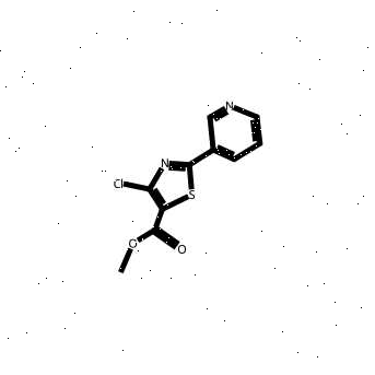 COC(=O)c1sc(-c2cccnc2)nc1Cl